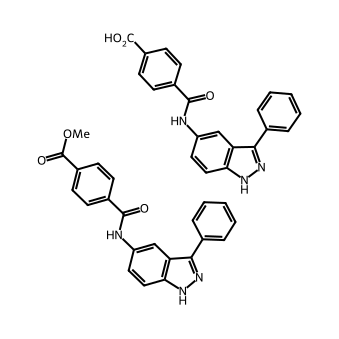 COC(=O)c1ccc(C(=O)Nc2ccc3[nH]nc(-c4ccccc4)c3c2)cc1.O=C(O)c1ccc(C(=O)Nc2ccc3[nH]nc(-c4ccccc4)c3c2)cc1